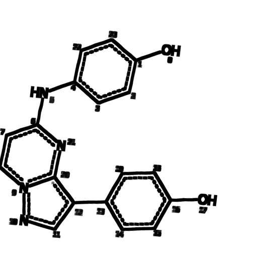 Oc1ccc(Nc2ccn3ncc(-c4ccc(O)cc4)c3n2)cc1